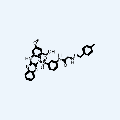 COc1cc(CO)cc(Nc2nc3ccccc3nc2NS(=O)(=O)c2cccc(NC(=O)CNOCc3ccc(C)cc3)c2)c1